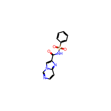 O=C(NS(=O)(=O)c1ccccc1)c1cn2cnccc2n1